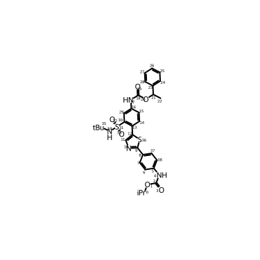 CC(C)OC(=O)Nc1ccc(-c2ncc(-c3ccc(NC(=O)OC(C)c4ccccc4)cc3S(=O)(=O)NC(C)(C)C)s2)cc1